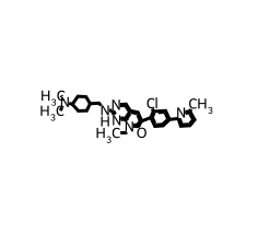 CCn1c(=O)c(-c2ccc(-c3cccc(C)n3)cc2Cl)cc2cnc(NCC3CCC(N(C)C)CC3)nc21